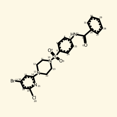 O=C(Nc1ccc(S(=O)(=O)N2CCN(c3cc(Br)cc(Cl)n3)CC2)cc1)c1ccccc1